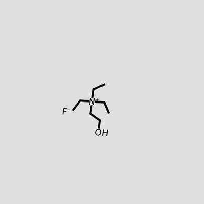 CC[N+](CC)(CC)CCO.[F-]